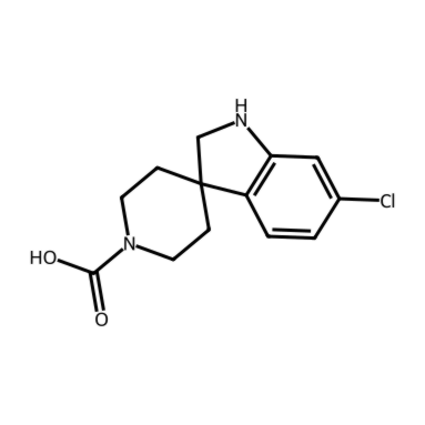 O=C(O)N1CCC2(CC1)CNc1cc(Cl)ccc12